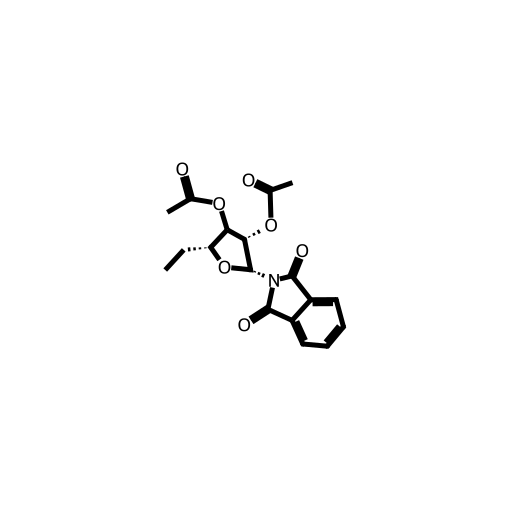 CC[C@H]1O[C@@H](N2C(=O)c3ccccc3C2=O)[C@@H](OC(C)=O)C1OC(C)=O